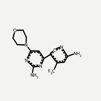 Nc1cc(C(F)(F)F)c(-c2cc(N3CCOCC3)nc(N)n2)cn1